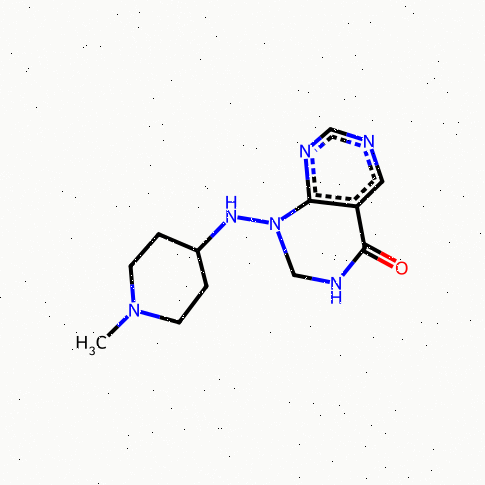 CN1CCC(NN2CNC(=O)c3cncnc32)CC1